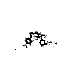 Cc1cc(N(C)C)ccc1-c1ccc(C=C2SC(=S)N(C3CCCC(C(=O)O)C3)C2=O)o1